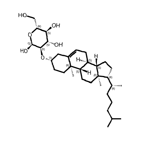 CC(C)CCC[C@@H](C)[C@H]1CC[C@H]2[C@@H]3CC=C4C[C@@H](O[C@@H]5[C@@H](O)[C@H](O)[C@@H](CO)O[C@@H]5O)CC[C@]4(C)[C@H]3CC[C@]12C